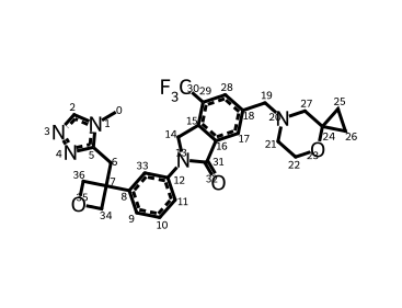 Cn1cnnc1CC1(c2cccc(N3Cc4c(cc(CN5CCOC6(CC6)C5)cc4C(F)(F)F)C3=O)c2)COC1